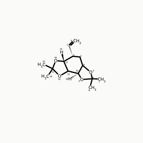 C=C[C@@H]1CC2OC(C)(C)O[C@H]2C2OC(C)(C)O[C@@H]21